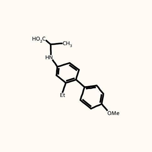 CCc1cc(NC(C)C(=O)O)ccc1-c1ccc(OC)cc1